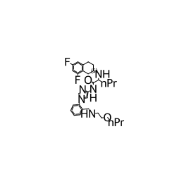 CCCOCCNCc1ccccc1-n1cnc(NC(=O)C(CCC)N[C@H]2CCc3cc(F)cc(F)c3C2)c1